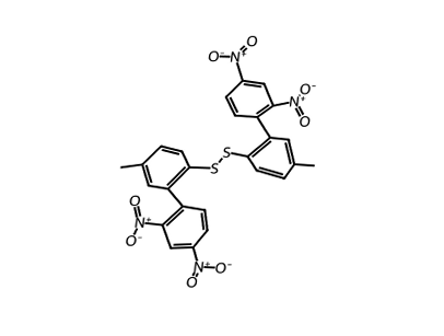 Cc1ccc(SSc2ccc(C)cc2-c2ccc([N+](=O)[O-])cc2[N+](=O)[O-])c(-c2ccc([N+](=O)[O-])cc2[N+](=O)[O-])c1